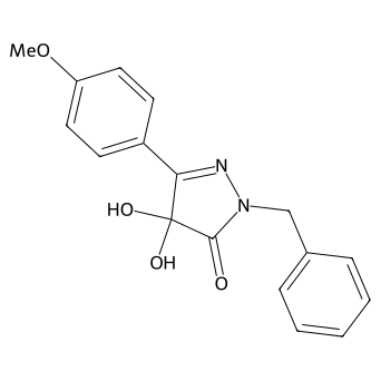 COc1ccc(C2=NN(Cc3ccccc3)C(=O)C2(O)O)cc1